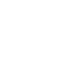 CC1(O)C2OC(c3ccccc3)OCC2OC(OCc2ccccc2)C1OCc1ccccc1